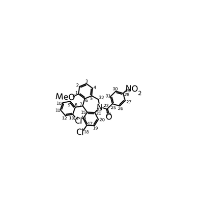 COc1cccc2c1C(c1ccccc1Cl)c1cc(Cl)ccc1N(C(=O)c1ccc([N+](=O)[O-])cc1)C2